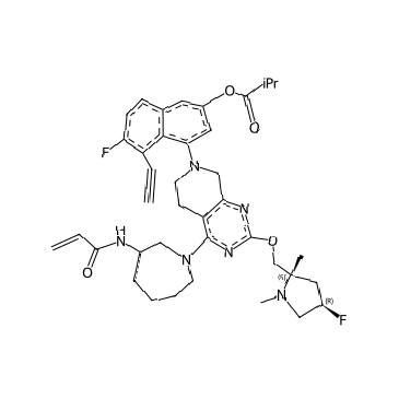 C#Cc1c(F)ccc2cc(OC(=O)C(C)C)cc(N3CCc4c(nc(OC[C@]5(C)C[C@@H](F)CN5C)nc4N4CCCCC(NC(=O)C=C)C4)C3)c12